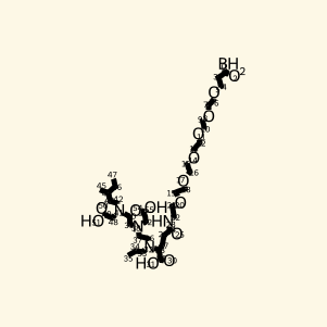 BC(=O)CCOCCOCCOCCOCCOCCOCCNC(=O)CCC(C(=O)O)N(CCC)CCN(CCN(CCC(C)CC)CC(=O)O)CC(=O)O